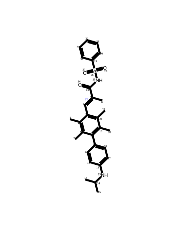 C/C(=C\c1c(C)c(C)c(-c2ccc(NC(C)C)cc2)c(C)c1C)C(=O)NS(=O)(=O)c1ccccc1